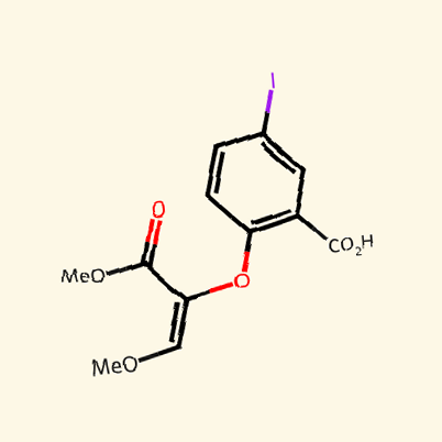 CO/C=C(/Oc1ccc(I)cc1C(=O)O)C(=O)OC